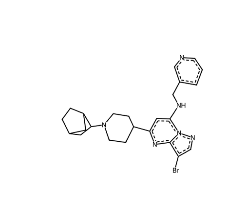 Brc1cnn2c(NCc3cccnc3)cc(C3CCN(C4CC5CCC4C5)CC3)nc12